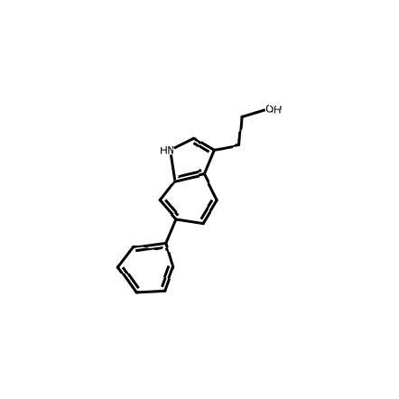 OCCc1c[nH]c2cc(-c3ccccc3)ccc12